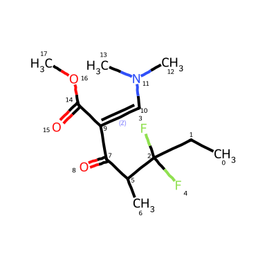 CCC(F)(F)C(C)C(=O)/C(=C/N(C)C)C(=O)OC